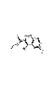 CCOC(=O)C(=CO)/N=N\c1ccc(Br)cc1